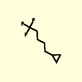 FC(F)(F)CCCCC1[CH]C1